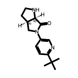 CC(C)(C)c1ccc(N2C[C@H]3CCN[C@H]3C2=O)cn1